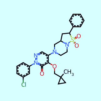 CC1(COc2c(N3CCN4C(CC(c5ccccc5)S4(=O)=O)C3)cnn(-c3cccc(Cl)c3)c2=O)CC1